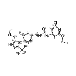 CCOc1cc(NC(=O)NCc2cc(C)c(-c3c(C(F)(F)F)n[nH]c3COC)nn2)cc(Cl)n1